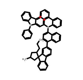 CCCC1CC(C)CC12c1ccccc1-c1ccc(-c3ccc(N(c4ccc5c6ccccc6n(-c6ccccc6)c5c4)c4ccccc4-c4ccccc4)c4ccccc34)cc12